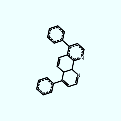 C1=CC2C(c3ccccc3)=CC=NC2c2nccc(-c3ccccc3)c21